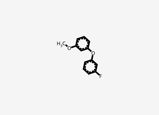 COc1cccc(Oc2cc[c]c(F)c2)c1